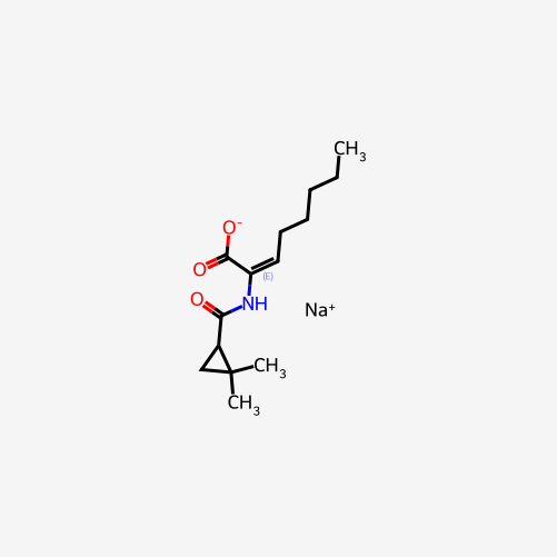 CCCCC/C=C(/NC(=O)C1CC1(C)C)C(=O)[O-].[Na+]